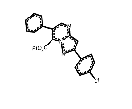 CCOC(=O)c1c(-c2ccccc2)cnc2cc(-c3ccc(Cl)cc3)nn12